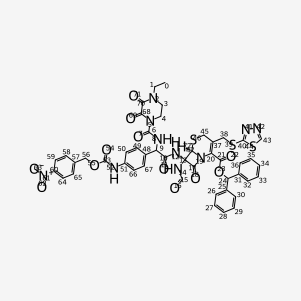 CCN1CCN(C(=O)NC(C(=O)N[C@]2(NC=O)C(=O)N3C(C(=O)OC(c4ccccc4)c4ccccc4)=C(CSc4nncs4)CS[C@H]32)c2ccc(NC(=O)OCc3ccc([N+](=O)[O-])cc3)cc2)C(=O)C1=O